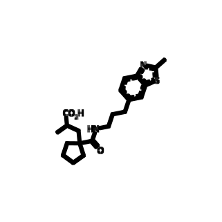 Cc1nc2ccc(CCCNC(=O)C3(CC(C)C(=O)O)CCCC3)cc2s1